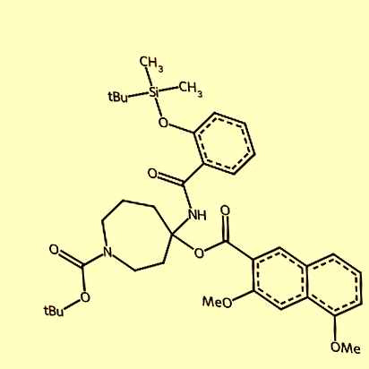 COc1cc2c(OC)cccc2cc1C(=O)OC1(NC(=O)c2ccccc2O[Si](C)(C)C(C)(C)C)CCCN(C(=O)OC(C)(C)C)CC1